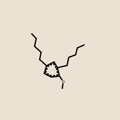 [CH2]Oc1ccc(CCCCC)cc1CCCCC